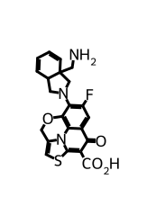 NCC12C=CC=CC1CN(c1c(F)cc3c(=O)c(C(=O)O)c4scc5n4c3c1OC5)C2